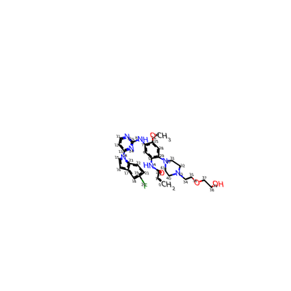 C=CC(=O)Nc1cc(Nc2nccc(-n3ccc4cc(F)ccc43)n2)c(OC)cc1N1CCN(CCOCCO)CC1